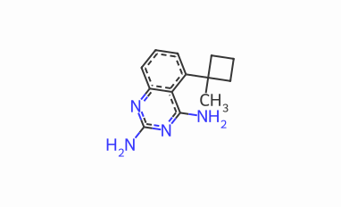 CC1(c2cccc3nc(N)nc(N)c23)CCC1